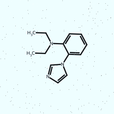 CCN(CC)c1ccccc1-n1ccnc1